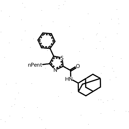 CCCCCc1nc(C(=O)NC2C3CC4CC(C3)CC2C4)sc1-c1ccccc1